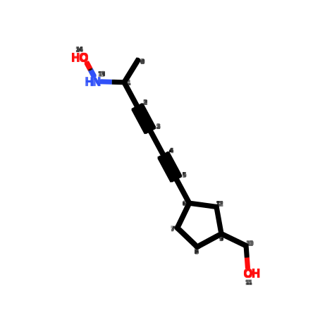 CC(C#CC#CC1CCC(CO)C1)NO